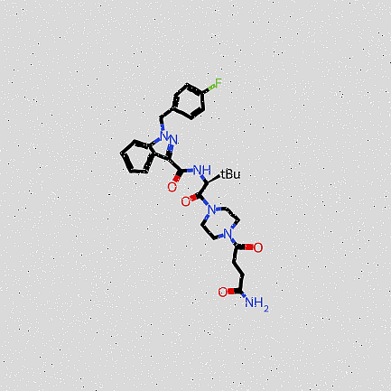 CC(C)(C)[C@H](NC(=O)c1nn(Cc2ccc(F)cc2)c2ccccc12)C(=O)N1CCN(C(=O)CCC(N)=O)CC1